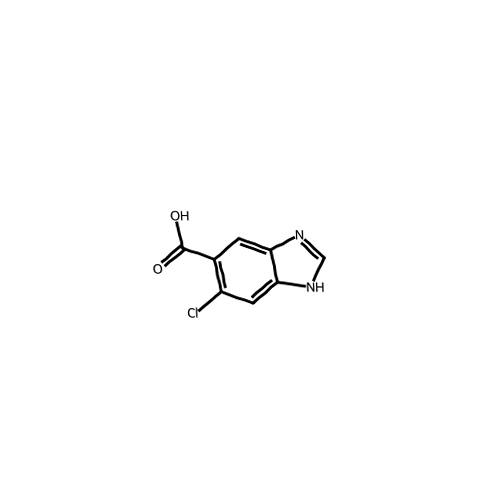 O=C(O)c1cc2nc[nH]c2cc1Cl